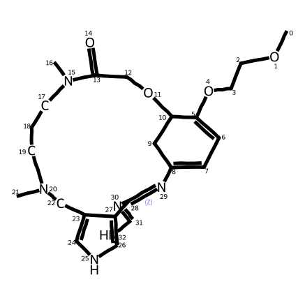 COCCOC1=CC=C2CC1OCC(=O)N(C)CCCN(C)Cc1c[nH]c3c1/C(=N/2)N=CN3